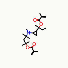 C=C(C)C(=O)OC(C)(C)CC(C)(C)N(C)C1CC1C(C)(CC)OC(=O)C(=C)C